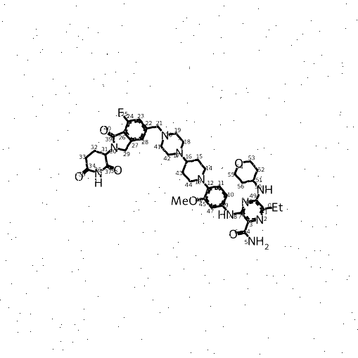 CCc1nc(C(N)=O)c(Nc2ccc(N3CCC(N4CCN(Cc5cc(F)c6c(c5)CN(C5CCC(=O)NC5=O)C6=O)CC4)CC3)c(OC)c2)nc1NC1CCOCC1